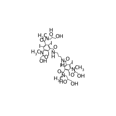 CN(CC(O)CO)C(=O)c1c(I)c(C(=O)NCCCNC(=O)c2c(I)c(C(=O)N(C)CC(O)CO)c(I)c(N(C)C(=O)CO)c2I)c(I)c(N(C)C(=O)CO)c1I